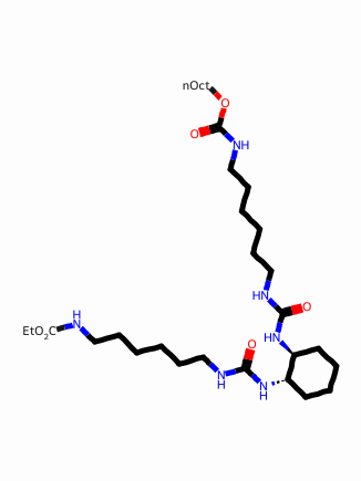 CCCCCCCCOC(=O)NCCCCCCNC(=O)N[C@H]1CCCC[C@@H]1NC(=O)NCCCCCCNC(=O)OCC